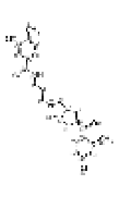 Cc1ccc(C(=O)NCCCN2CC3CN(C(=O)c4ccc(Cl)cc4C)CC3C2)cc1Cl